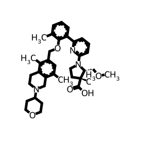 COC[C@H]1N(c2cccc(-c3cccc(C)c3OCc3cc(C)c4c(c3C)CCN(C3CCOCC3)C4)n2)CC[C@@]1(C)C(=O)O